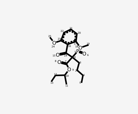 CCCCC(P=O)(C(=O)OC(C)CC)C(=O)c1c(OC)cccc1OC